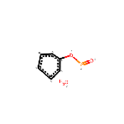 O.O=POc1ccccc1